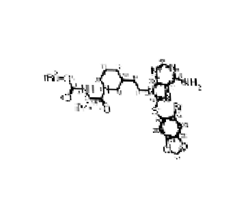 CC(C)[C@H](NC(=O)OC(C)(C)C)C(=O)N1CCCC(CCn2c(Sc3cc4c(cc3Br)OCO4)nc3c(N)ncnc32)C1